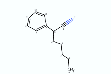 [CH2]CCCCC(C#N)c1ccccc1